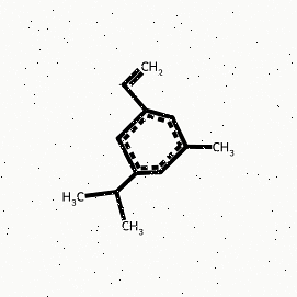 C=[C]c1cc(C)cc(C(C)C)c1